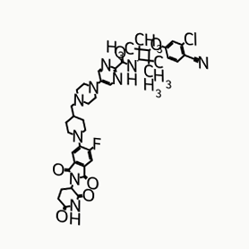 CC1(C)[C@H](NC(=O)c2ncc(N3CCN(CC4CCN(c5cc6c(cc5F)C(=O)N(C5CCC(=O)NC5=O)C6=O)CC4)CC3)cn2)C(C)(C)[C@H]1Oc1ccc(C#N)c(Cl)c1